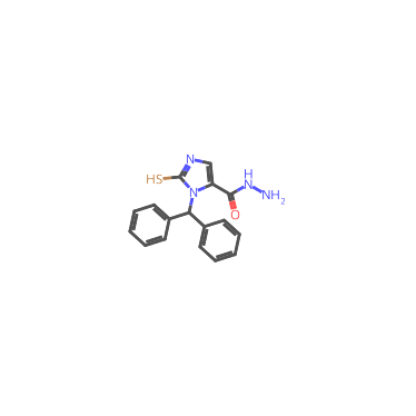 NNC(=O)c1cnc(S)n1C(c1ccccc1)c1ccccc1